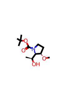 CO[C@H]1CCN(C(=O)OC(C)(C)C)[C@@H]1[C@H](C)O